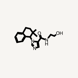 CC1(C)CCc2ccccc2C1n1cncc1C(=O)NCCO